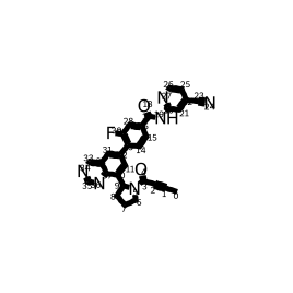 CC#CC(=O)N1CCCC1c1cc(-c2ccc(C(=O)Nc3cc(C#N)ccn3)cc2F)cc2cncnc12